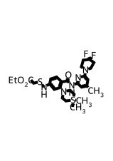 CCOC(=O)CSNc1ccc(C(=O)Nc2cc(C)cc(N3CCC(F)(F)CC3)n2)c(N2CCS(C)(C)CC2)c1